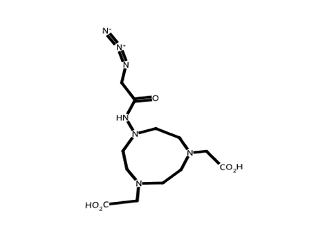 [N-]=[N+]=NCC(=O)NN1CCN(CC(=O)O)CCN(CC(=O)O)CC1